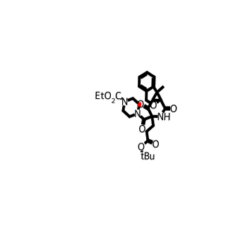 CCOC(=O)N1CCN(C(=O)C2(CCC(=O)OC(C)(C)C)NC(=O)[C@]3(OCc4ccccc4)C(C2=O)C3(C)C)CC1